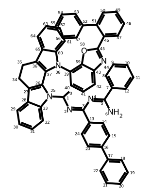 CC(/N=C(\N=C(/N)c1ccccc1)c1ccc(-c2ccccc2)cc1)n1c2c(c3ccccc31)CCc1c-2n(-c2cccc3nc(-c4ccccc4-c4ccccc4)oc23)c2ccccc12